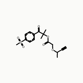 C#CC(C)OCC(=O)OC(C)(C)C(=O)c1ccc(S(C)(=O)=O)cc1